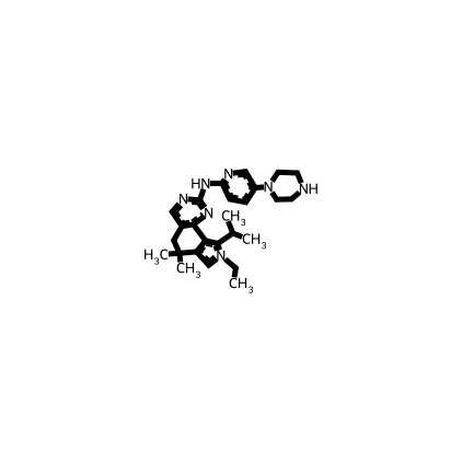 CCn1cc2c(c1C(C)C)-c1nc(Nc3ccc(N4CCNCC4)cn3)ncc1CC2(C)C